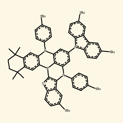 CC(C)(C)c1ccc(N2c3cc4c(cc3B3c5sc6ccc(C(C)(C)C)cc6c5N(c5ccc(C(C)(C)C)cc5)c5cc(-n6c7ccc(C(C)(C)C)cc7c7cc(C(C)(C)C)ccc76)cc2c53)C(C)(C)CCC4(C)C)cc1